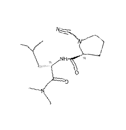 CC(C)C[C@H](NC(=O)[C@@H]1CCCN1C#N)C(=O)N(C)C